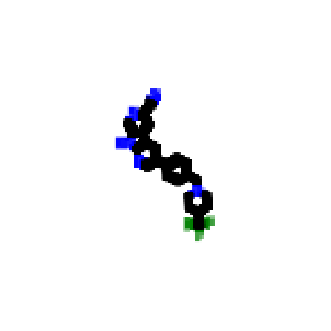 N#Cc1cc2c(cn1)[nH]c1ncc(-c3ccc(CN4CCC(C(F)(F)F)CC4)cc3)cc12